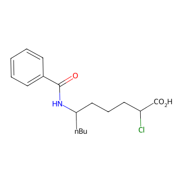 CCCCC(CCCC(Cl)C(=O)O)NC(=O)c1ccccc1